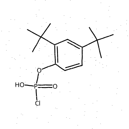 CC(C)(C)c1ccc(OP(=O)(O)Cl)c(C(C)(C)C)c1